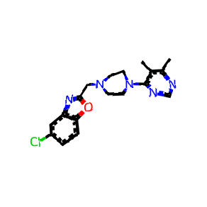 Cc1ncnc(N2CCN(Cc3nc4cc(Cl)ccc4o3)CC2)c1C